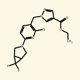 CCOC(=O)c1cnn(Cc2ccc(N3CC4C(C3)C4(F)F)nc2Cl)c1